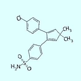 CC1(C)C=C(c2ccc(Cl)cc2)C(c2ccc(S(N)(=O)=O)cc2)=C1